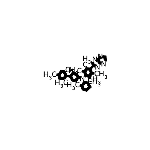 Cc1cc(C)c(-c2ccc(N(c3c(C)cccc3C)c3c(C)c(C)c(-c4cnc5nccnc5n4)c(C)c3C)cc2)c(C)c1